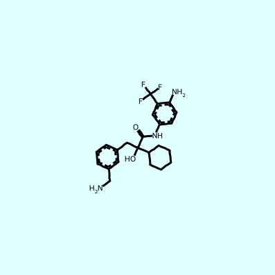 NCc1cccc(CC(O)(C(=O)Nc2ccc(N)c(C(F)(F)F)c2)C2CCCCC2)c1